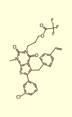 C=Cc1ccc(Cc2c(-c3cccc(Cl)c3)sc3c2c(=O)n(CCCOC(=O)C(F)(F)F)c(=O)n3C)cc1